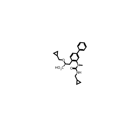 CN(C(=O)NCC1CC1)c1cc(-c2ccccc2)ccc1C[C@H](OCC1CC1)C(=O)O